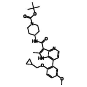 COc1ccc(OCC2CC2)c(-c2ccnc3c(C(=O)NC4CCN(C(=O)OC(C)(C)C)CC4)c(C)[nH]c23)c1